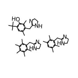 Cc1c(C)c(C)c(CC2=NCCN2)c(C)c1C.Cc1cc(C(C)(C)C)c(O)c(C)c1CC1=NCCN1.Cc1cc(C)c(C)c(CC2=NCCN2)c1C